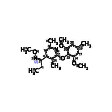 CC/C(=N/OC)c1cc(C)nc(Oc2c(OC)cc(C)cc2OC)c1C